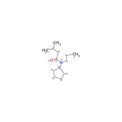 CCCN(C(=O)CC(C)C)C1CCCC1